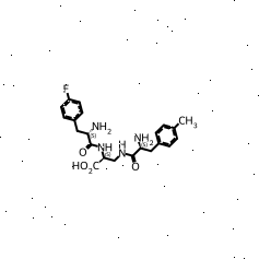 Cc1ccc(C[C@H](N)C(=O)NC[C@H](NC(=O)[C@@H](N)Cc2ccc(F)cc2)C(=O)O)cc1